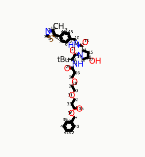 Cc1ncsc1-c1ccc(CNC(=O)[C@@H]2C[C@@H](O)CN2C(=O)[C@@H](NC(=O)CCOCCOCCC(=O)OCc2ccccc2)C(C)(C)C)cc1